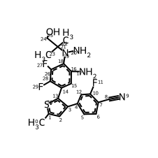 Cc1cc(-c2ccc(C#N)c(F)c2)c(-c2cc(N)c(N(N)C(C)(C)CO)c(F)c2F)s1